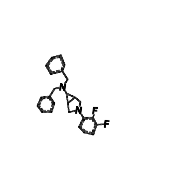 Fc1cccc(N2CC3C(C2)C3N(Cc2ccccc2)Cc2ccccc2)c1F